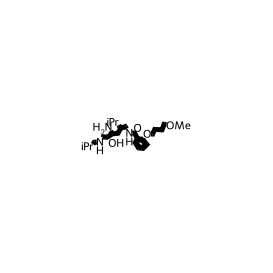 COCCCCOc1ccccc1C(=O)NCC(CC(N)C(O)CNCC(C)C)C(C)C